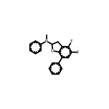 CN(c1ccccc1)C1Cc2c(F)c(F)cc(-c3ccccc3)c2O1